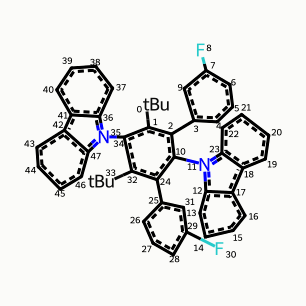 CC(C)(C)c1c(-c2cccc(F)c2)c(-n2c3ccccc3c3ccccc32)c(-c2cccc(F)c2)c(C(C)(C)C)c1-n1c2ccccc2c2ccccc21